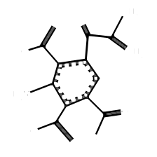 C=C(C)C(=O)c1cc(C(=O)O)c(C(=O)O)c(N)c1C(=O)O